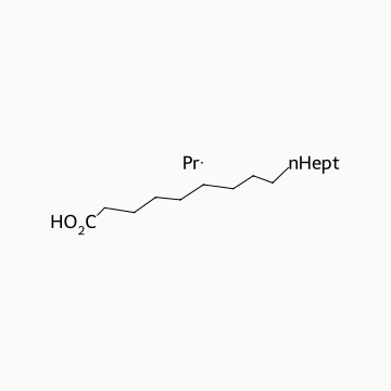 CCCCCCCCCCCCCCCC(=O)O.[Pr]